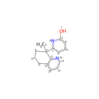 CC1(c2cccc(O)n2)CCCc2cccnc21